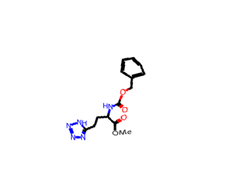 COC(=O)C(CCc1nnn[nH]1)NC(=O)OCc1ccccc1